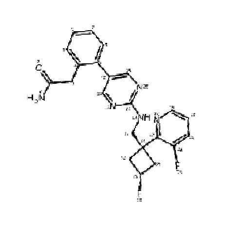 NC(=O)Cc1ccccc1-c1cnc(NC[C@]2(c3ncccc3F)C[C@H](F)C2)nc1